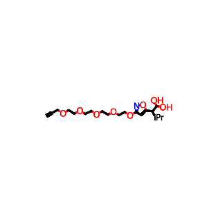 C#CCOCCOCCOCCOCCOc1cc(C(C(C)C)C(O)O)on1